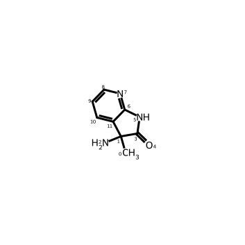 CC1(N)C(=O)Nc2ncccc21